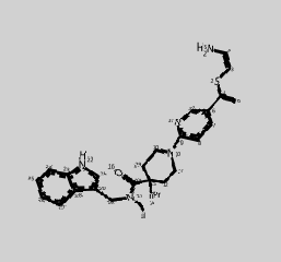 C=C(S/C=C\N)c1ccc(N2CCC(CCC)(C(=O)N(C)Cc3c[nH]c4ccccc34)CC2)nc1